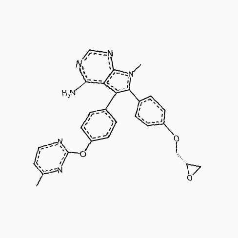 Cc1ccnc(Oc2ccc(-c3c(-c4ccc(OC[C@@H]5CO5)cc4)n(C)c4ncnc(N)c34)cc2)n1